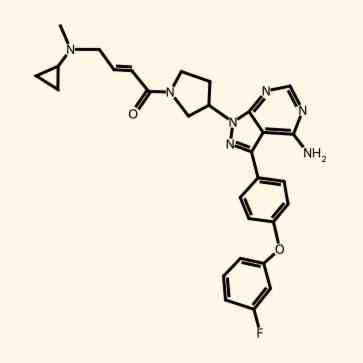 CN(CC=CC(=O)N1CCC(n2nc(-c3ccc(Oc4cccc(F)c4)cc3)c3c(N)ncnc32)C1)C1CC1